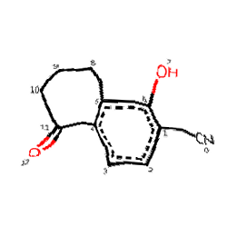 N#Cc1ccc2c(c1O)CCCC2=O